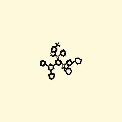 CC(C)(C)c1ccc2scc(N(c3ccccc3)c3cc(-c4cc(-c5ccccc5)cc(-c5ccccc5)c4)cc(N4c5ccc(C6CCCCC6)cc5C5(CCCCC5)C4(C)C)c3)c2c1